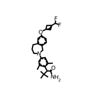 Cc1cc(N2CCCc3cc(OC45CC(C(F)F)(C4)C5)ccc3C2)cc(C)c1C(C(N)=O)C(C)(C)C